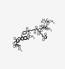 CC[C@@]1(O)C(=O)OCc2c1cc1n(c2=O)Cc2c-1nc1cc(F)c(OC)cc1c2CN1CCC(NC(=O)CCCNC(=O)[C@H](CCC(=O)NC(C)(C)CCOC(C)(C)C)NC(=O)CCCN2C(=O)C=CC2=O)CC1